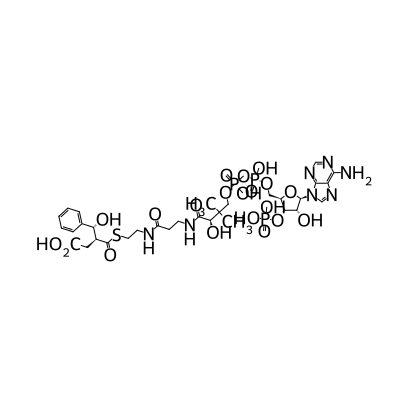 CC(C)(COP(=O)(O)OP(=O)(O)OC[C@H]1O[C@@H](n2cnc3c(N)ncnc32)[C@H](O)[C@@H]1OP(=O)(O)O)[C@@H](O)C(=O)NCCC(=O)NCCSC(=O)[C@@H](CC(=O)O)[C@@H](O)c1ccccc1